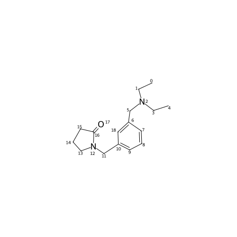 CCN(CC)Cc1cccc(CN2CCCC2=O)c1